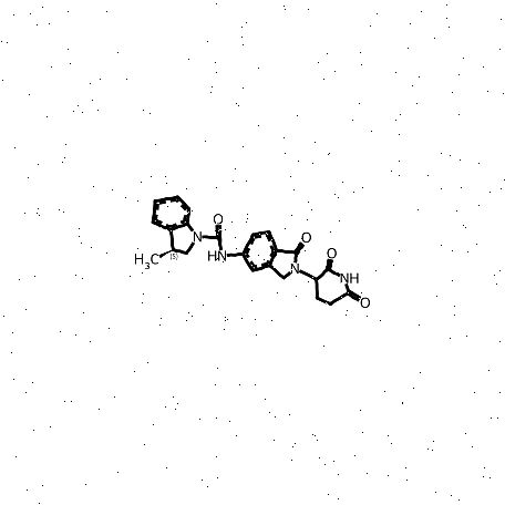 C[C@@H]1CN(C(=O)Nc2ccc3c(c2)CN(C2CCC(=O)NC2=O)C3=O)c2ccccc21